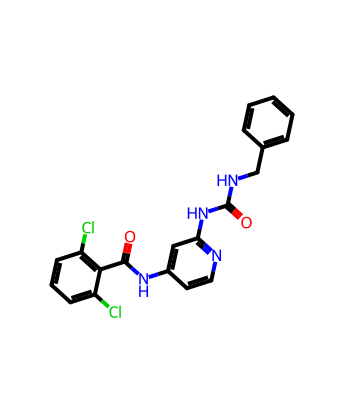 O=C(NCc1ccccc1)Nc1cc(NC(=O)c2c(Cl)cccc2Cl)ccn1